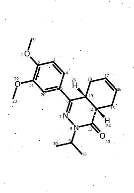 COc1ccc(C2=NN(C(C)C)C(=O)[C@H]3CC=CC[C@@H]23)cc1OC